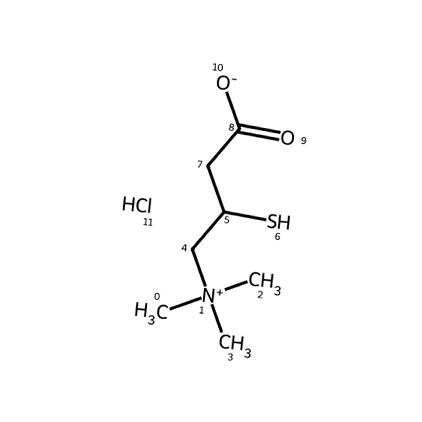 C[N+](C)(C)CC(S)CC(=O)[O-].Cl